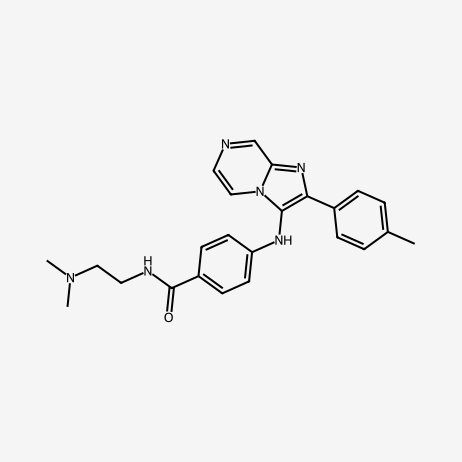 Cc1ccc(-c2nc3cnccn3c2Nc2ccc(C(=O)NCCN(C)C)cc2)cc1